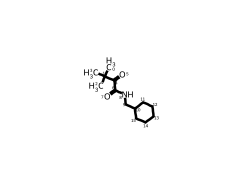 CC(C)(C)C(=O)C(=O)NCC1CCCCC1